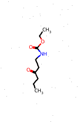 CCCC(=O)CCNC(=O)OCC